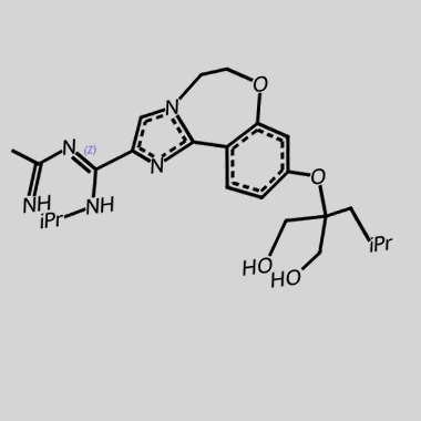 CC(=N)/N=C(\NC(C)C)c1cn2c(n1)-c1ccc(OC(CO)(CO)CC(C)C)cc1OCC2